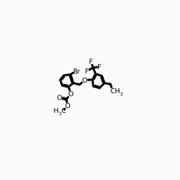 CCc1ccc(OCc2c(Br)cccc2OC(=O)OC)c(C(F)(F)F)c1